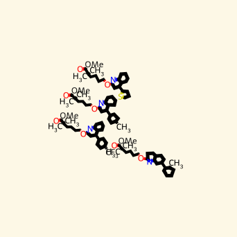 COC(=O)C(C)(C)CCCCOc1cc(-c2ccc(C(F)(F)F)cc2)c2ccccc2n1.COC(=O)C(C)(C)CCCCOc1cc(-c2ccc(C)cc2)c2ccccc2n1.COC(=O)C(C)(C)CCCCOc1cc(-c2cccs2)c2ccccc2n1.COC(=O)C(C)(C)CCCCOc1ccc2ccc(-c3ccccc3C)cc2n1